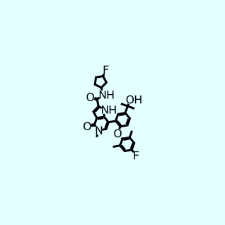 Cc1cc(F)cc(C)c1Oc1ccc(C(C)(C)O)cc1-c1cn(C)c(=O)c2cc(C(=O)NC3CCC(F)C3)[nH]c12